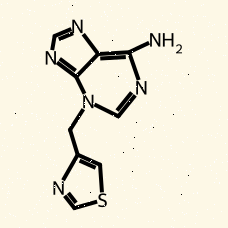 Nc1ncn(Cc2cscn2)c2ncnc1-2